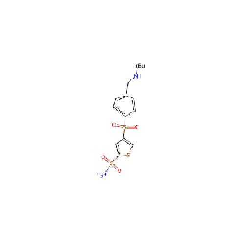 CCCCNCc1ccc(S(=O)(=O)c2csc(S(N)(=O)=O)c2)cc1